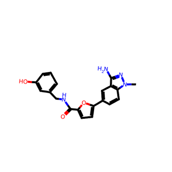 Cn1nc(N)c2cc(-c3ccc(C(=O)NCc4cccc(O)c4)o3)ccc21